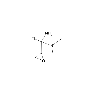 CN(C)C(N)(Cl)C1CO1